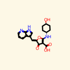 O=C(O)C1=C(N[C@H]2CC[C@H](O)CC2)OC(=Cc2c[nH]c3ncccc23)C1=O